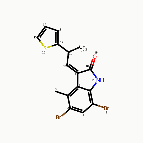 Cc1c(Br)cc(Br)c2c1C(=CC(c1cccs1)C(F)(F)F)C(=O)N2